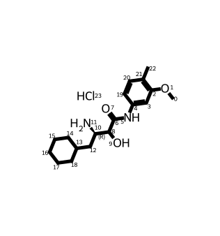 COc1cc(NC(=O)C(O)[C@H](N)CC2CCCCC2)ccc1C.Cl